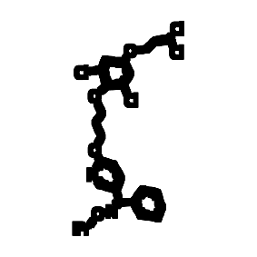 CC(C)ON=C(c1ccccc1)c1ccc(OCCCOc2c(Cl)cc(OCC=C(Cl)Cl)cc2Cl)nc1